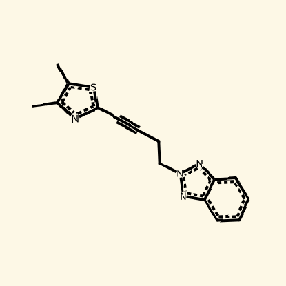 Cc1nc(C#CCCn2nc3ccccc3n2)sc1C